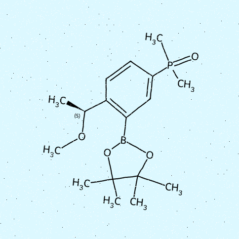 CO[C@@H](C)c1ccc(P(C)(C)=O)cc1B1OC(C)(C)C(C)(C)O1